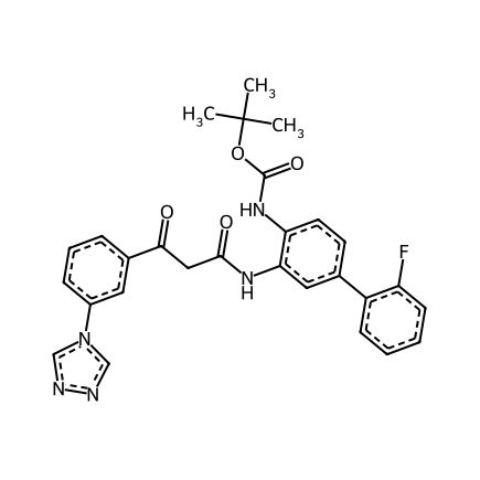 CC(C)(C)OC(=O)Nc1ccc(-c2ccccc2F)cc1NC(=O)CC(=O)c1cccc(-n2cnnc2)c1